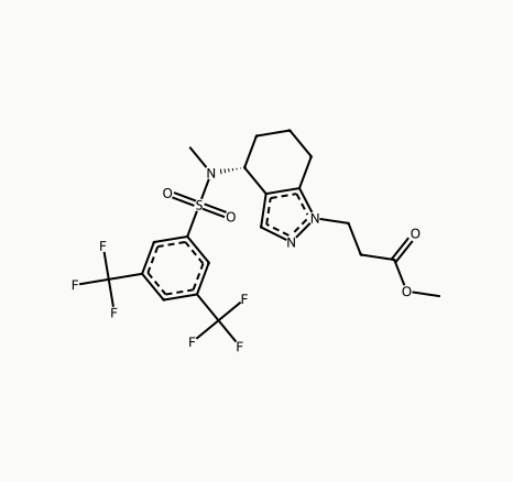 COC(=O)CCn1ncc2c1CCC[C@H]2N(C)S(=O)(=O)c1cc(C(F)(F)F)cc(C(F)(F)F)c1